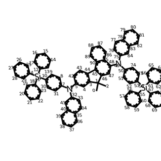 CC1(C)c2cc(N(c3ccc([Si](c4ccccc4)(c4ccccc4)c4ccccc4)cc3)c3ccc4ccccc4c3)ccc2-c2c1cc(N(c1ccc([Si](c3ccccc3)(c3ccccc3)c3ccccc3)cc1)c1ccc3ccccc3c1)c1ccccc21